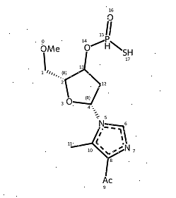 COC[C@H]1O[C@@H](n2cnc(C(C)=O)c2C)CC1O[PH](=O)S